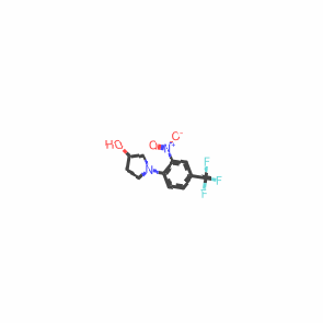 O=[N+]([O-])c1cc(C(F)(F)F)ccc1N1CCC(O)C1